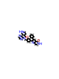 O=C(C1CCNCC1)N(Cc1ccc(-c2nc3cc[nH]c(=O)c3cc2-c2ccccc2)cc1)c1cnccn1